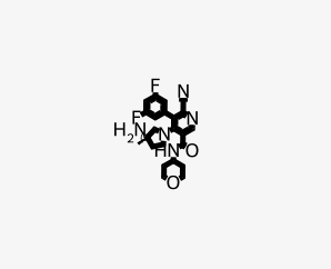 C[C@]1(N)CCN(c2c(C(=O)NC3CCOCC3)cnc(C#N)c2-c2cc(F)cc(F)c2)C1